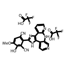 COc1cc(C#N)c(-c2nc3c([nH]2)-c2ccncc2Nc2ncccc2-3)c(C#N)c1O.O=C(O)C(F)(F)F.O=C(O)C(F)(F)F